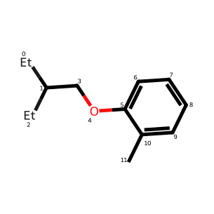 CCC(CC)COc1ccccc1C